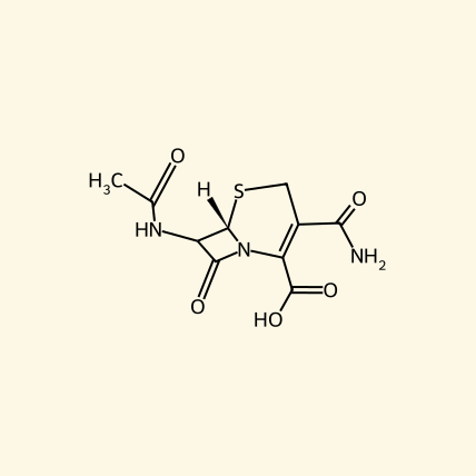 CC(=O)NC1C(=O)N2C(C(=O)O)=C(C(N)=O)CS[C@@H]12